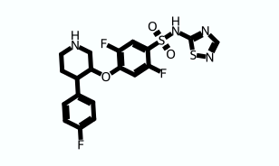 O=S(=O)(Nc1ncns1)c1cc(F)c(OC2CNCCC2c2ccc(F)cc2)cc1F